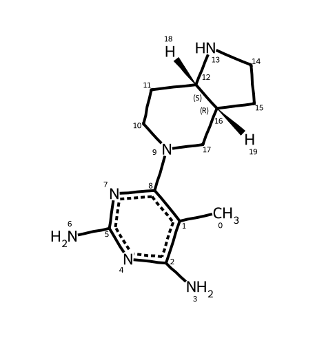 Cc1c(N)nc(N)nc1N1CC[C@@H]2NCC[C@@H]2C1